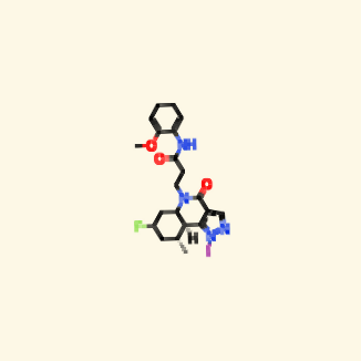 COC1=CCCC=C1NC(=O)CCN1C(=O)c2cnn(I)c2[C@@H]2C1CC(F)C[C@H]2C